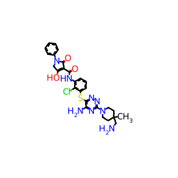 CC1(CN)CCN(c2nnc(Sc3cccc(NC(=O)C4=C(O)CN(c5ccccc5)C4=O)c3Cl)c(N)n2)CC1